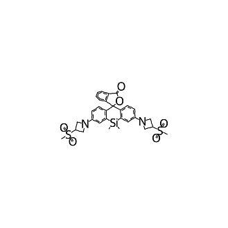 C[Si]1(C)c2cc(N3CC(S(C)(=O)=O)C3)ccc2C2(OC(=O)c3ccccc32)c2ccc(N3CC(S(C)(=O)=O)C3)cc21